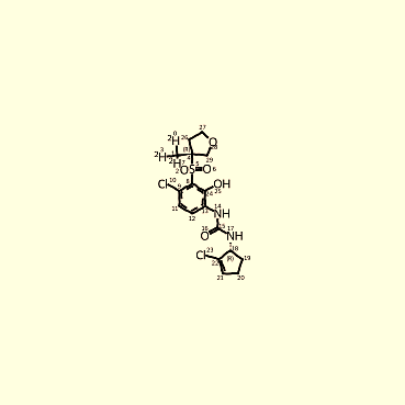 [2H]C([2H])([2H])[C@@]1(S(=O)(=O)c2c(Cl)ccc(NC(=O)N[C@@H]3CCC=C3Cl)c2O)CCOC1